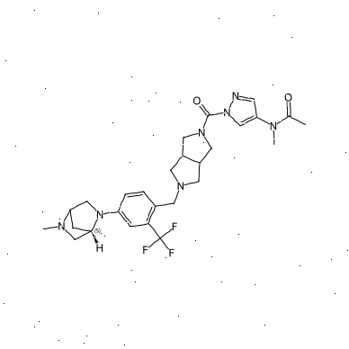 CC(=O)N(C)c1cnn(C(=O)N2CC3CN(Cc4ccc(N5CC6C[C@H]5CN6C)cc4C(F)(F)F)CC3C2)c1